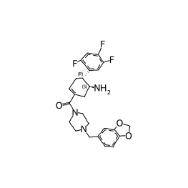 N[C@H]1CC(C(=O)N2CCN(Cc3ccc4c(c3)OCO4)CC2)=CC[C@@H]1c1cc(F)c(F)cc1F